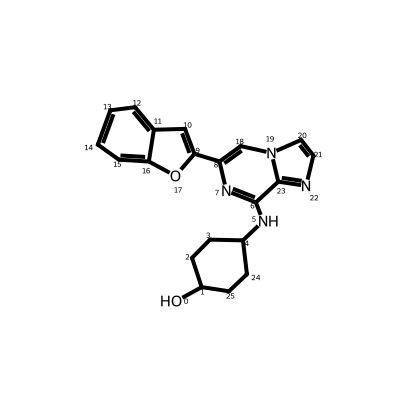 OC1CCC(Nc2nc(-c3cc4ccccc4o3)cn3ccnc23)CC1